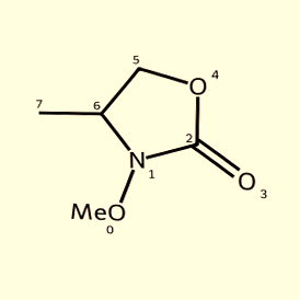 CON1C(=O)OCC1C